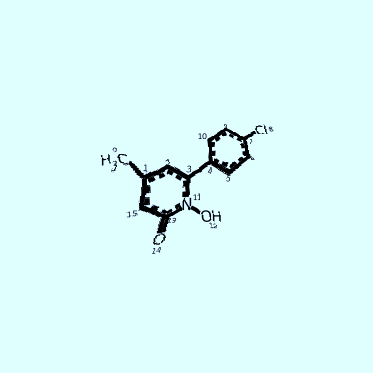 Cc1cc(-c2ccc(Cl)cc2)n(O)c(=O)c1